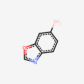 Bc1ccc2ncoc2c1